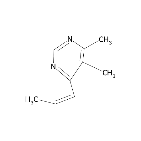 C/C=C\c1ncnc(C)c1C